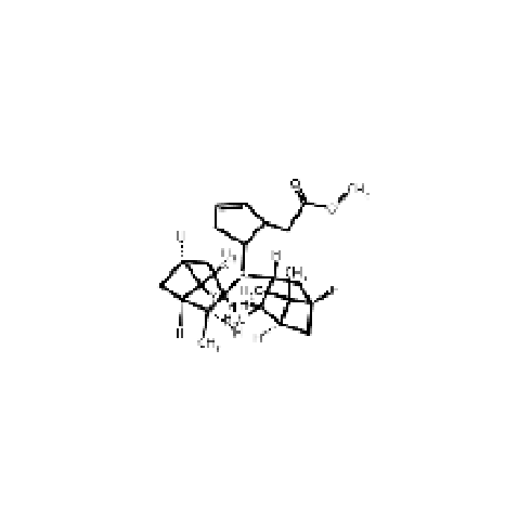 COC(=O)CC1C=CCC1B([C@@H]1C[C@@H]2C[C@@H]([C@@H]1C)C2(C)C)[C@@H]1C[C@@H]2C[C@@H]([C@@H]1C)C2(C)C